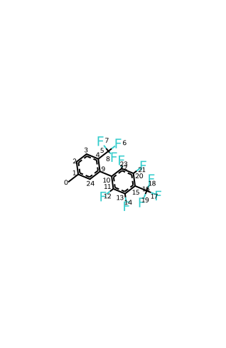 Cc1ccc(C(F)(F)F)c(-c2c(F)c(F)c(C(F)(F)F)c(F)c2F)c1